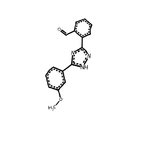 COc1cccc(-c2nc(-c3ccccc3C=O)n[nH]2)c1